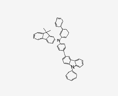 CC1(C)c2ccccc2-c2ccc(N(C3=CCCC(c4ccccc4)=C3)c3ccc(-c4ccc5c(c4)c4ccccc4n5C4=CC=CC=CC4)cc3)cc21